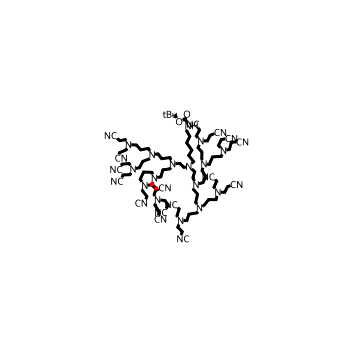 [C-]#[N+]CCN(CCC#N)CCCN(CCCN(CCC#N)CCC#N)CCCN(CCCN(CCCN(CCC#N)CCC#N)CCCN(CCC#N)CCC#N)CCN(CCCCCCNC(=O)OC(C)(C)C)CCN(CCCN(CCCN(CCC#N)CCC#N)CCCN(CCC#N)CCC#N)CCCN(CCCN(CCC#N)CCC#N)CCCN(CCC#N)CC[N+]#[C-]